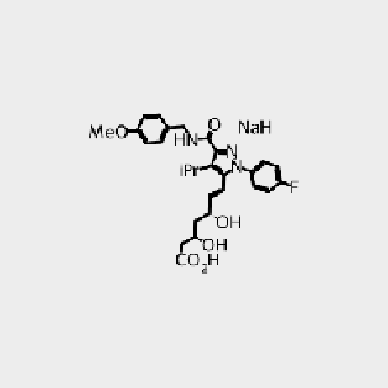 COc1ccc(CNC(=O)c2nn(-c3ccc(F)cc3)c(C=C[C@H](O)C[C@@H](O)CC(=O)O)c2C(C)C)cc1.[NaH]